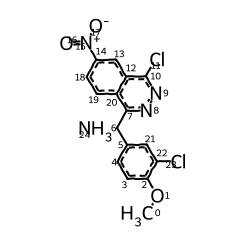 COc1ccc(Cc2nnc(Cl)c3cc([N+](=O)[O-])ccc23)cc1Cl.N